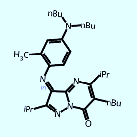 CCCCc1c(C(C)C)nc2n(c1=O)N=C(C(C)C)/C2=N/c1ccc(N(CCCC)CCCC)cc1C